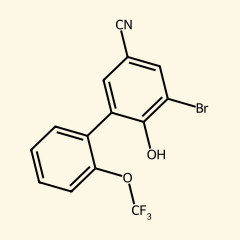 N#Cc1cc(Br)c(O)c(-c2ccccc2OC(F)(F)F)c1